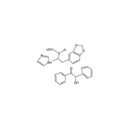 CCCCCCCC[S+]([O-])C(C)Cc1ccc2c(c1)OCO2.O=C(c1ccccc1)C(O)c1ccccc1.c1c[nH]cn1